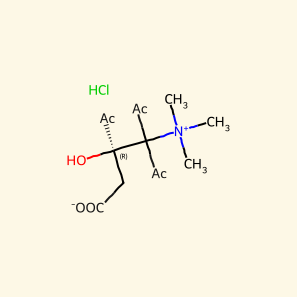 CC(=O)C(C(C)=O)([C@](O)(CC(=O)[O-])C(C)=O)[N+](C)(C)C.Cl